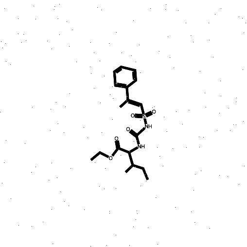 CCOC(=O)C(NC(=O)NS(=O)(=O)C=C(C)c1ccccc1)C(C)CC